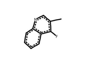 Cc1cnc2ccccc2c1F